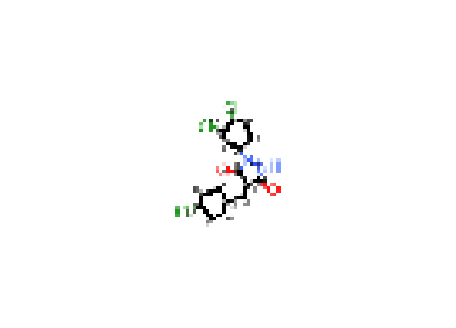 O=C1NN(c2ccc(Cl)c(Cl)c2)C(=O)C1=Cc1ccc(Cl)cc1